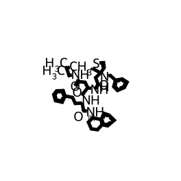 CC(C)(C)CNC(=O)CC(NC(=O)CC1(NCc2ccccc2)C=CSC1)C(=O)NC(CCc1ccccc1)C(=O)N[C@@H]1CCCc2ccccc21